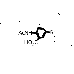 CC(=O)Nc1ccc(Br)cc1C(=O)O